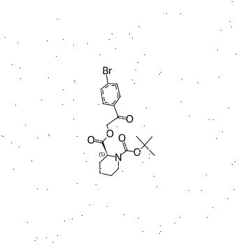 CC(C)(C)OC(=O)N1CCCC[C@H]1C(=O)OCC(=O)c1ccc(Br)cc1